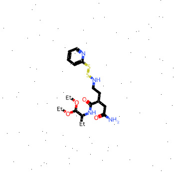 CCOC(OCC)C(CC)NC(=O)C(CCNSSc1ccccn1)CC(N)=O